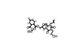 C=CCn1c(=O)n(CCO)c(=O)n(CC(O)COC(=O)C2CCC(C)CC2C(=O)OC(C)(C)C)c1=O